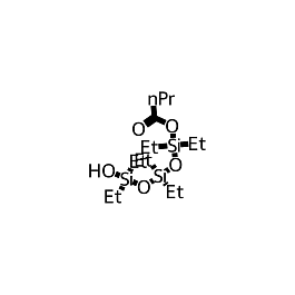 CCCC(=O)O[Si](CC)(CC)O[Si](CC)(CC)O[Si](O)(CC)CC